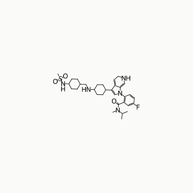 CC(C)N(C)C(=O)c1cc(F)ccc1-n1cc(C2CCC(NCC3CCC(NS(C)(=O)=O)CC3)CC2)c2c1=CNCC=2